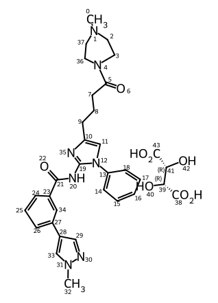 CN1CCN(C(=O)CCCc2cn(-c3ccccc3)c(NC(=O)c3cccc(-c4cnn(C)c4)c3)n2)CC1.O=C(O)[C@H](O)[C@@H](O)C(=O)O